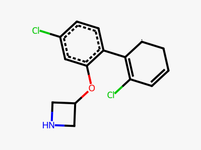 ClC1=C(c2ccc(Cl)cc2OC2CNC2)[CH]CC=C1